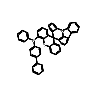 c1ccc(-c2ccc(N(c3ccccc3)c3cccc4c3Sc3ccccc3C43c4ccccc4-n4c5ccccc5c5cccc3c54)cc2)cc1